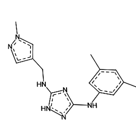 Cc1cc(C)cc(Nc2n[nH]c(NCc3cnn(C)c3)n2)c1